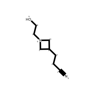 N#CCCC1CN(CCO)C1